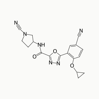 N#Cc1ccc(OC2CC2)c(-c2nnc(C(=O)NC3CCN(C#N)C3)o2)c1